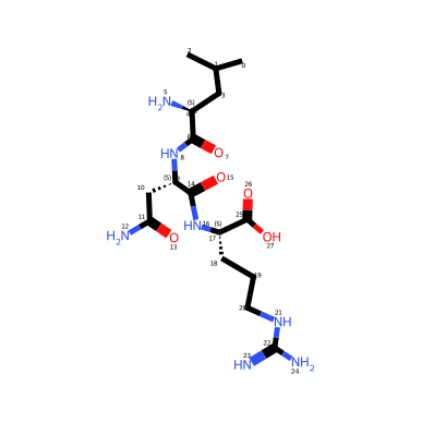 CC(C)C[C@H](N)C(=O)N[C@@H](CC(N)=O)C(=O)N[C@@H](CCCNC(=N)N)C(=O)O